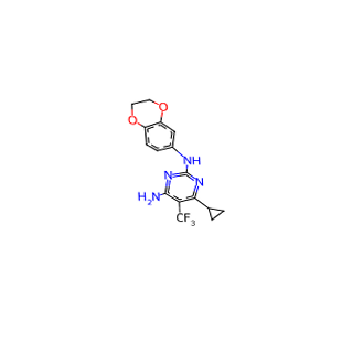 Nc1nc(Nc2ccc3c(c2)OCCO3)nc(C2CC2)c1C(F)(F)F